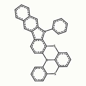 c1ccc(-n2c3cc4ccccc4cc3c3ccc4c(c32)Sc2cccc3c2B4c2ccccc2S3)cc1